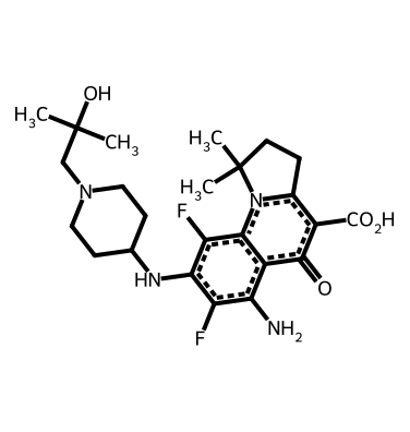 CC(C)(O)CN1CCC(Nc2c(F)c(N)c3c(=O)c(C(=O)O)c4n(c3c2F)C(C)(C)CC4)CC1